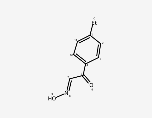 CCc1ccc(C(=O)C=NO)cc1